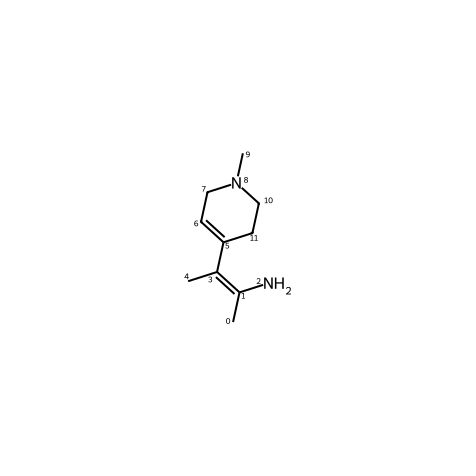 C/C(N)=C(\C)C1=CCN(C)CC1